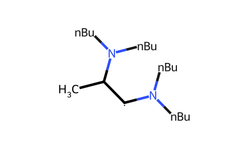 CCCCN([CH]C(C)N(CCCC)CCCC)CCCC